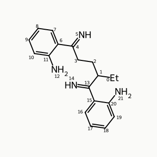 CCC(CCC(=N)c1ccccc1N)C(=N)c1ccccc1N